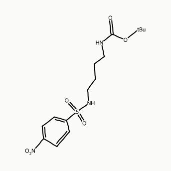 CC(C)(C)OC(=O)NCCCCNS(=O)(=O)c1ccc([N+](=O)[O-])cc1